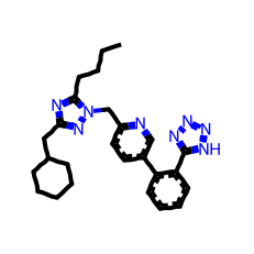 CCCCc1nc(CC2CCCCC2)nn1Cc1ccc(-c2ccccc2-c2nnn[nH]2)cn1